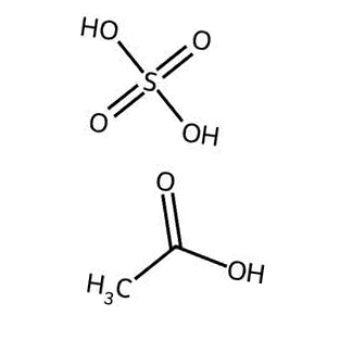 CC(=O)O.O=S(=O)(O)O